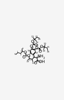 CCCC(C)OC(=O)OC(C)C(C)C(c1ccc(OC(=O)OC(C)(C)CC)c(OC(=O)OC(C)(C)CC)c1)[C@H](N)C(=O)O